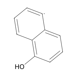 Oc1cccc2[c]cccc12